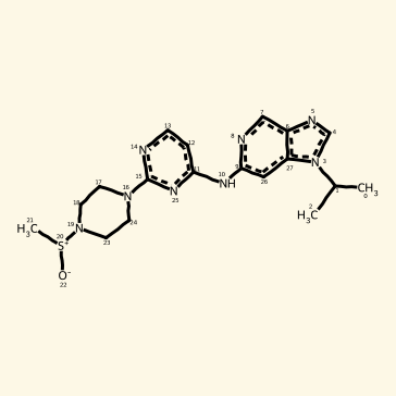 CC(C)n1cnc2cnc(Nc3ccnc(N4CCN([S+](C)[O-])CC4)n3)cc21